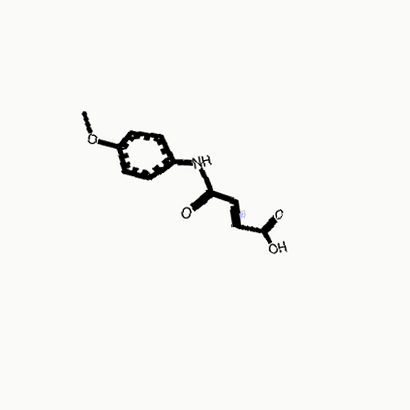 COc1ccc(NC(=O)/C=C/C(=O)O)cc1